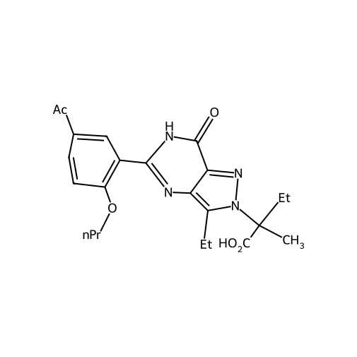 CCCOc1ccc(C(C)=O)cc1-c1nc2c(CC)n(C(C)(CC)C(=O)O)nc2c(=O)[nH]1